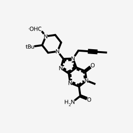 CC#CCn1c(N2CCN([C]=O)C(C(C)(C)C)C2)nc2nc(C(N)=O)n(C)c(=O)c21